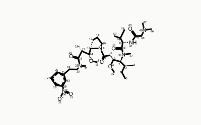 CC[C@H](C)[C@@H]([C@@H](CC(=O)N1CCC[C@H]1[C@H](OC)[C@@H](C)C(=O)N(C)CCc1cccc([N+](=O)[O-])c1)OC)N(C)C(=O)[C@@H](NC(=O)CN(C)C)C(C)C